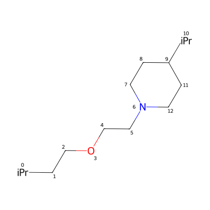 CC(C)CCOCCN1CCC(C(C)C)CC1